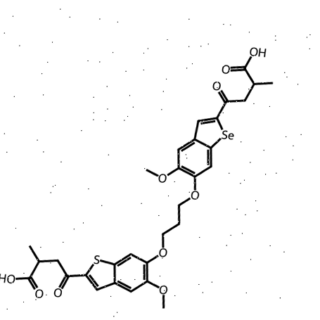 COc1cc2cc(C(=O)CC(C)C(=O)O)sc2cc1OCCCOc1cc2[se]c(C(=O)CC(C)C(=O)O)cc2cc1OC